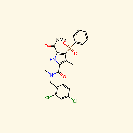 CNC(=O)c1[nH]c(C(=O)N(C)Cc2ccc(Cl)cc2Cl)c(C)c1S(=O)(=O)c1ccccc1